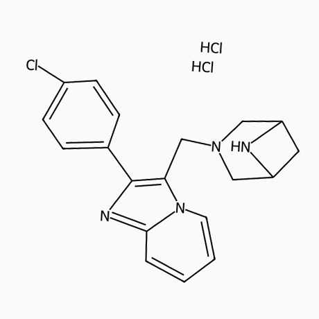 Cl.Cl.Clc1ccc(-c2nc3ccccn3c2CN2CC3CC(C2)N3)cc1